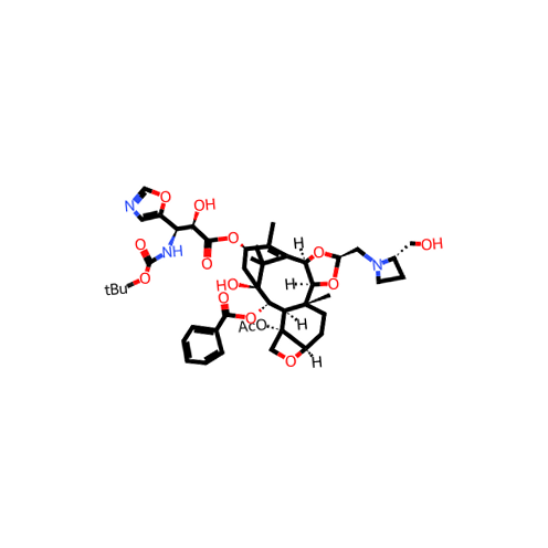 CC(=O)O[C@@]12CO[C@@H]1CC[C@@]1(C)[C@@H]3O[C@H](CN4CC[C@H]4CO)O[C@@H]3C3=C(C)[C@@H](OC(=O)[C@H](O)[C@@H](NC(=O)OC(C)(C)C)c4cnco4)C[C@@](O)([C@@H](OC(=O)c4ccccc4)[C@@H]12)C3(C)C